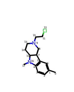 Cc1ccc2c(c1)C1CN(CCCl)CCC1N2C